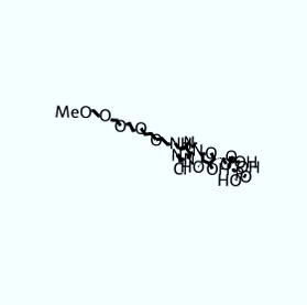 COCCOCCOCCOCCOCCNc1nc(Cl)nc2c1ncn2[C@@H]1O[C@H](COP(=O)(O)CP(=O)(O)O)C(O)[C@@H]1O